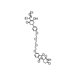 CCO/N=C(\CC)C1=C(O)CC(c2ccc(OCCOCCOCCOc3ccc4c(c3)C(=O)N(C3CCC(=O)NC3=O)C4=O)cc2)CC1=O